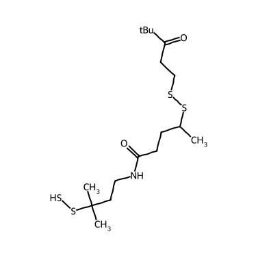 CC(CCC(=O)NCCC(C)(C)SS)SSCCC(=O)C(C)(C)C